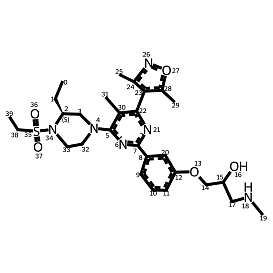 CC[C@H]1CN(c2nc(-c3cccc(OCC(O)CNC)c3)nc(-c3c(C)noc3C)c2C)CCN1S(=O)(=O)CC